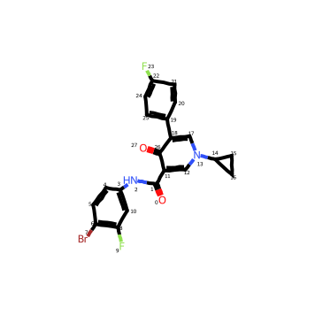 O=C(Nc1ccc(Br)c(F)c1)c1cn(C2CC2)cc(-c2ccc(F)cc2)c1=O